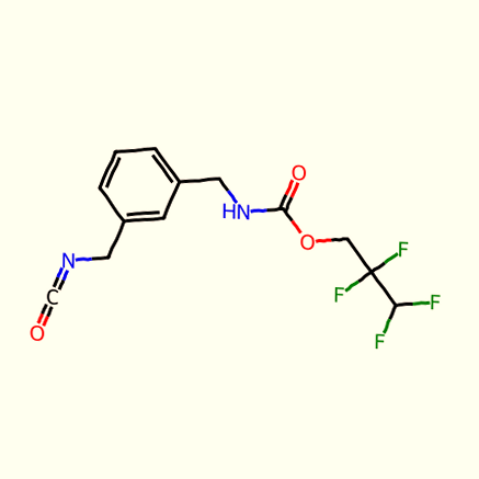 O=C=NCc1cccc(CNC(=O)OCC(F)(F)C(F)F)c1